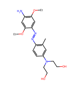 CCOc1cc(/N=N/c2ccc(N(CCO)CCO)cc2C)c(OCC)cc1N